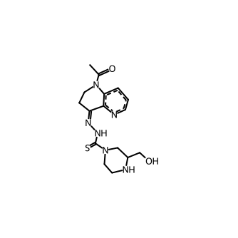 CC(=O)N1CC/C(=N/NC(=S)N2CCNC(CO)C2)c2ncccc21